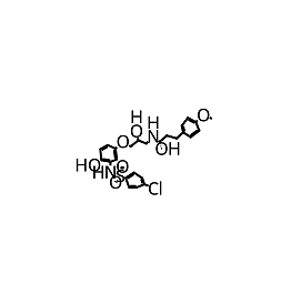 COc1ccc(CC[C@H](O)NCC(O)COc2ccc(O)c(NS(=O)(=O)c3ccc(Cl)cc3)c2)cc1